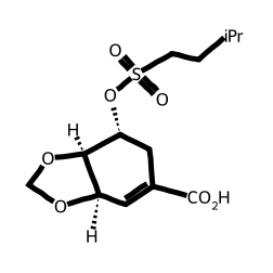 CC(C)CCS(=O)(=O)O[C@@H]1CC(C(=O)O)=C[C@H]2OCO[C@H]21